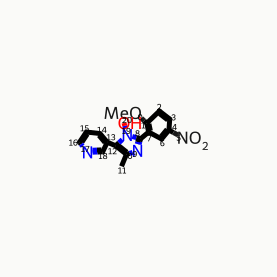 COc1ccc([N+](=O)[O-])cc1-c1nc(C)c(-c2cccnc2)n1O